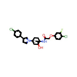 O=C(COc1ccc(Cl)c(F)c1)NC12CCC(n3ccc(-c4ccc(Cl)cc4)c3)(CC1)CC2O